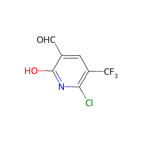 O=Cc1cc(C(F)(F)F)c(Cl)nc1O